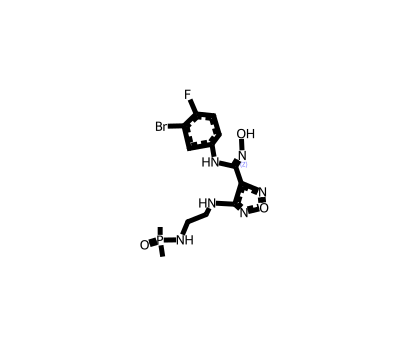 CP(C)(=O)NCCNc1nonc1/C(=N/O)Nc1ccc(F)c(Br)c1